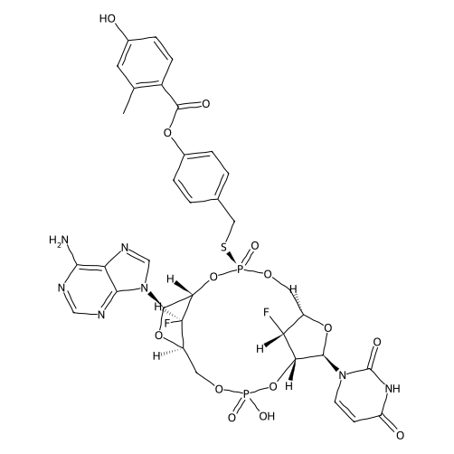 Cc1cc(O)ccc1C(=O)Oc1ccc(CS[P@@]2(=O)OC[C@H]3O[C@@H](n4ccc(=O)[nH]c4=O)[C@H](OP(=O)(O)OC[C@H]4O[C@@H](n5cnc6c(N)ncnc65)[C@H](O2)[C@@H]4F)[C@@H]3F)cc1